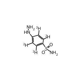 [2H]c1c([2H])c(S(N)(=O)=O)c([2H])c([2H])c1NN